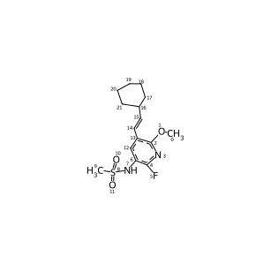 COc1nc(F)c(NS(C)(=O)=O)cc1/C=C/C1CCCCC1